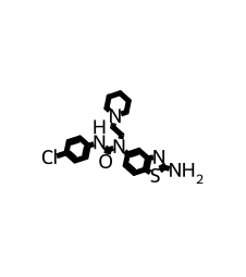 Nc1nc2cc(N(CCN3CCCCC3)C(=O)Nc3ccc(Cl)cc3)ccc2s1